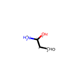 NC(O)CC=O